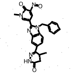 CC1CC(=O)NN=C1c1ccc2c(c1)nc(-c1cc(N=O)c(=O)n(C)c1)n2Cc1ccccc1